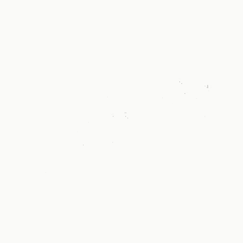 C#CCOc1ccc(C(=O)NCCCCC(N)C(N)=O)cc1